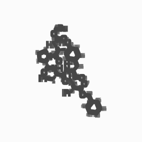 CC(C)C[C@H](NC(=O)[C@@H]1CCCN1C(=O)[C@H](C)NC(=O)OC(C)(C)C)C(=O)N[C@@H](Cc1ccc(O)cc1)C(=O)N[C@H](C(=O)OCc1ccccc1)C(C)C